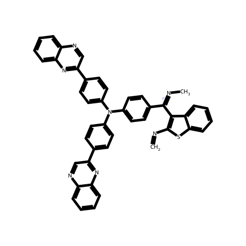 C=Nc1sc2ccccc2c1/C(=N\C)c1ccc(N(c2ccc(-c3cnc4ccccc4n3)cc2)c2ccc(-c3cnc4ccccc4n3)cc2)cc1